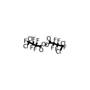 O=C(OOC(=O)C(F)(F)C(F)(F)C(F)(Cl)Cl)C(F)(F)C(F)(F)C(F)(Cl)Cl